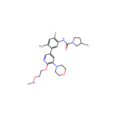 Cc1cc(F)c(NC(=O)N2CCC(C(F)(F)F)C2)cc1-c1cnc(OCCOPI)c(N2CCOCC2)c1